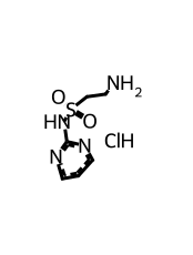 Cl.NCCS(=O)(=O)Nc1ncccn1